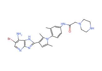 Cc1cc(NC(=O)CN2CCNCC2)ccc1-n1c(C)cc(-c2nc3ncc(Br)c(N)c3[nH]2)c1C